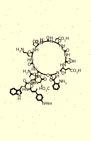 CCCCCCc1ccc(/C(C)=C/C(=O)N[C@@H](Cc2c[nH]c3ccccc23)C(=O)N[C@H](CC(N)=O)C(=O)N[C@@H](CC(=O)O)C(=O)N[C@@H]2C(=O)NCC(=O)N[C@@H](CCCN)C(=O)N[C@@H](CC(=O)O)C(=O)N[C@H](C)C(=O)N[C@@H](CC(=O)O)C(=O)NCC(=O)N[C@H](CO)C(=O)N[C@@H]([C@H](C)CC(=O)O)C(=O)N[C@@H](CC(=O)c3ccccc3N)C(=O)O[C@@H]2C)cc1